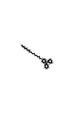 CCCCCCCCCCCCCCCCC.c1ccc(P(c2ccccc2)c2ccccc2)cc1